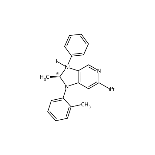 Cc1ccccc1N1c2cc(C(C)C)ncc2[N+](I)(c2ccccc2)[C@@H]1C